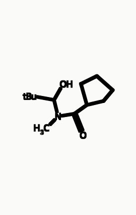 CN(C(=O)C1CCCC1)C(O)C(C)(C)C